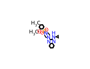 COc1cc(C)ccc1S(=O)(=O)N1CCN(c2nc3ccccc3nc2NC2CC2)CC1